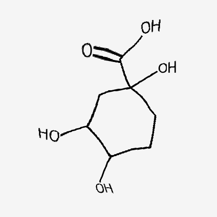 O=C(O)C1(O)CCC(O)C(O)C1